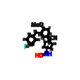 COc1ccc([C@]2(C#N)CC[C@H](NO)CC2)cc1Cc1ccc(F)cc1